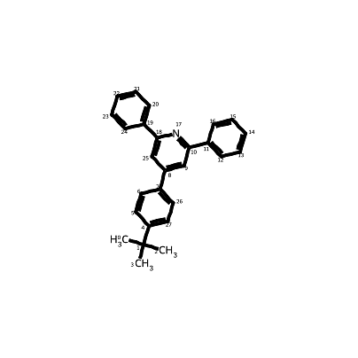 CC(C)(C)c1ccc(-c2cc(-c3ccccc3)nc(-c3ccccc3)c2)cc1